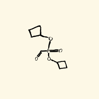 O=CP(=O)(OC1CCC1)OC1CCC1